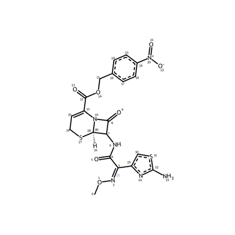 CO/N=C(\C(=O)NC1C(=O)N2C(C(=O)OCc3ccc([N+](=O)[O-])cc3)=CCS[C@H]12)c1csc(N)n1